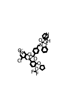 O=C(O[C@@H](Cc1c(Cl)c[n+]([O-])cc1Cl)c1ccc(OC(F)F)c(OC2CCCC2)c1)c1ccc(CN(C(=O)O[C@H]2CN3CCC2CC3)c2ccccc2F)cc1